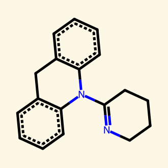 c1ccc2c(c1)Cc1ccccc1N2C1=NCCCC1